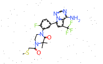 CSCC(=O)N1CCN(c2cc(-c3cc(C(F)(F)F)c4c(N)ncnn34)ccc2F)C(=O)C1(C)C